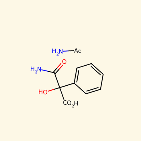 CC(N)=O.NC(=O)C(O)(C(=O)O)c1ccccc1